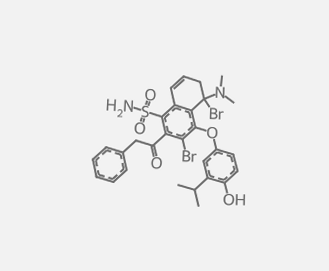 CC(C)c1cc(Oc2c(Br)c(C(=O)Cc3ccccc3)c(S(N)(=O)=O)c3c2C(Br)(N(C)C)CC=C3)ccc1O